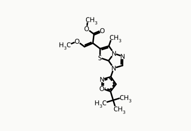 COC=C(C(=O)OC)C1=C(C)N2N=CN(c3cc(C(C)(C)C)on3)C2S1